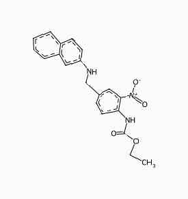 CCOC(=O)Nc1ccc(CNc2ccc3ccccc3c2)cc1[N+](=O)[O-]